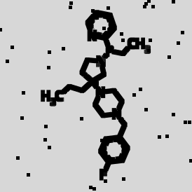 CCCC1(N2CCN(Cc3ccc(F)cc3)CC2)CCN(P(CC)c2ccccn2)C1